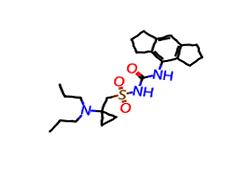 CCCN(CCC)C1(CS(=O)(=O)NC(=O)Nc2c3c(cc4c2CCC4)CCC3)CC1